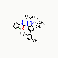 Cc1ccc(C)c(-c2ccc(N(CC(C)C)CC(C)C)c(NC(=O)Nc3ccccc3F)c2)c1